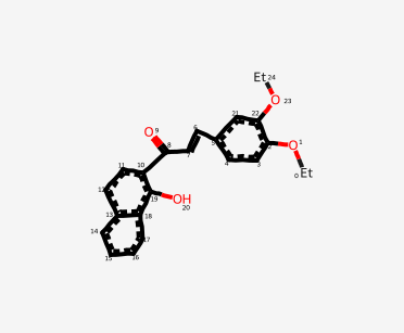 CCOc1ccc(C=CC(=O)c2ccc3ccccc3c2O)cc1OCC